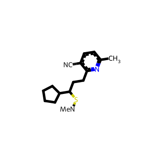 CNSC(CCc1nc(C)ccc1C#N)C1CCCC1